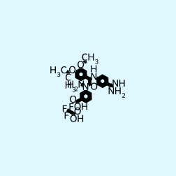 CCOc1cc(C(Nc2ccc(C(=N)N)cc2)C(=O)N(N)c2cccc(C(=O)O)c2)ccc1OC(C)C.O=C(O)C(F)(F)F